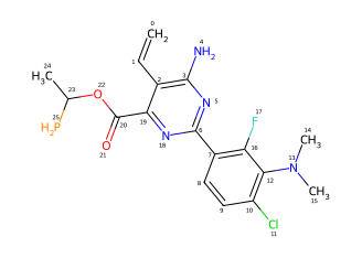 C=Cc1c(N)nc(-c2ccc(Cl)c(N(C)C)c2F)nc1C(=O)OC(C)P